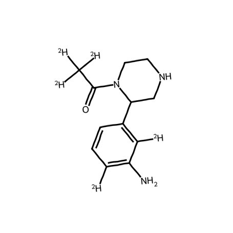 [2H]c1ccc(C2CNCCN2C(=O)C([2H])([2H])[2H])c([2H])c1N